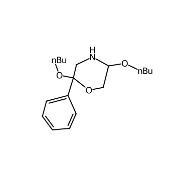 CCCCOC1COC(OCCCC)(c2ccccc2)CN1